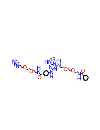 CCCCNc1nc(NCCOCCOCCNC(=O)c2ccccc2)nc(Nc2ccc(C(=O)NCCOCCOCCN=[N+]=[N-])cc2)n1